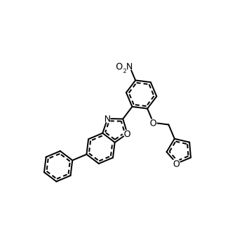 O=[N+]([O-])c1ccc(OCc2ccoc2)c(-c2nc3cc(-c4ccccc4)ccc3o2)c1